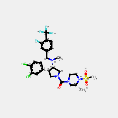 C[C@@H]1CN(C(=O)N2C[C@H](c3ccc(Cl)c(Cl)c3)[C@H](N(C)Cc3ccc(C(F)(F)F)c(F)c3)C2)CCN1S(C)(=O)=O